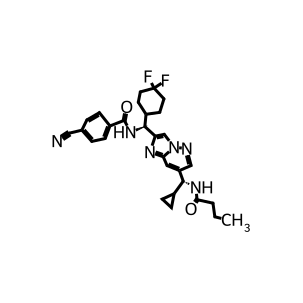 CCCC(=O)N[C@@H](c1cnn2cc([C@@H](NC(=O)c3ccc(C#N)cc3)C3CCC(F)(F)CC3)nc2c1)C1CC1